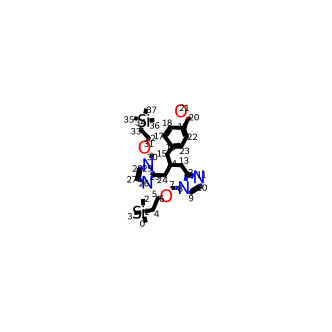 C[Si](C)(C)CCOCn1ccnc1CC(Cc1ccc(C=O)cc1)Cc1nccn1COCC[Si](C)(C)C